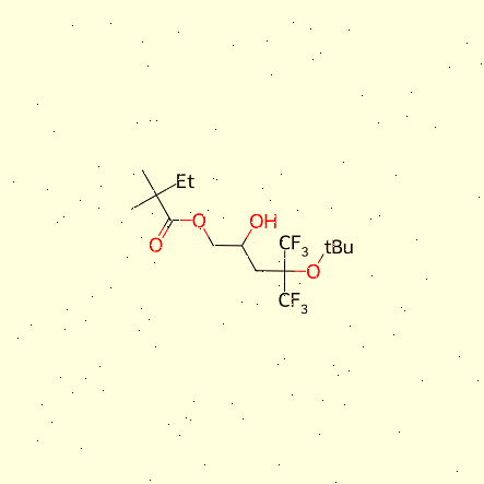 CCC(C)(C)C(=O)OCC(O)CC(OC(C)(C)C)(C(F)(F)F)C(F)(F)F